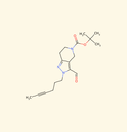 CC#CCCCn1nc2c(c1C=O)CN(C(=O)OC(C)(C)C)CC2